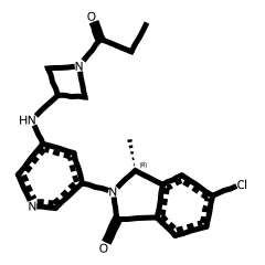 CCC(=O)N1CC(Nc2cncc(N3C(=O)c4ccc(Cl)cc4[C@H]3C)c2)C1